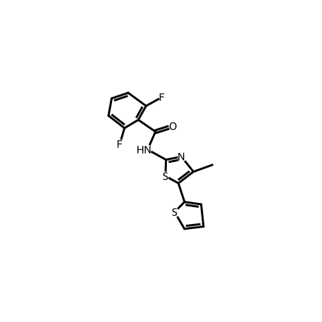 Cc1nc(NC(=O)c2c(F)cccc2F)sc1-c1cccs1